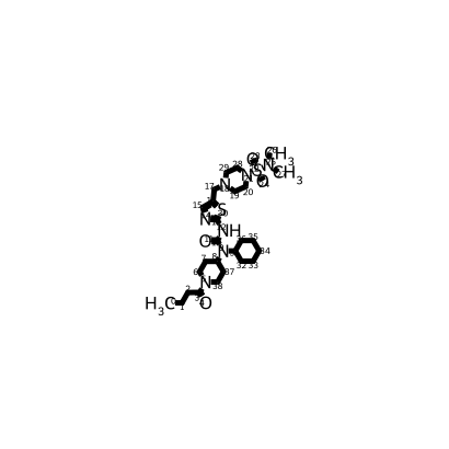 CCCC(=O)N1CCC(N(C(=O)Nc2ncc(CN3CCN(S(=O)(=O)N(C)C)CC3)s2)C2CCCCC2)CC1